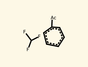 CC(=O)c1ccccc1.FC(F)F